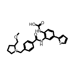 COCC1CCCN1Cc1ccc(C(=O)Nc2cc(-c3cccs3)ccc2NC(=O)O)cc1